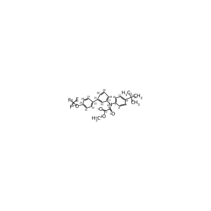 COC(=O)C(=O)N(c1ccc(C(C)(C)C)cc1)c1cccc(-c2ccc(OC(F)(F)F)cc2)c1